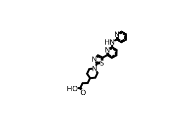 O=C(O)CCC1CCN(c2ncc(-c3cccc(Nc4ccccn4)n3)s2)CC1